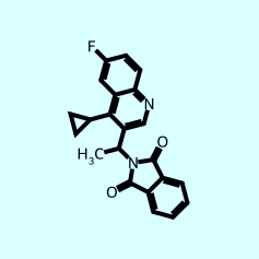 CC(c1cnc2ccc(F)cc2c1C1CC1)N1C(=O)c2ccccc2C1=O